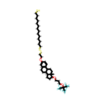 CC12CCC3c4ccc(OCCSSCCCCCCCCCCCCCCS)cc4CCC3C1CCC2OCCCOC(C(F)(F)F)(C(F)(F)F)C(F)(F)F